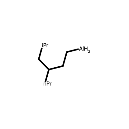 CCCC(C[CH2][AlH2])CC(C)C